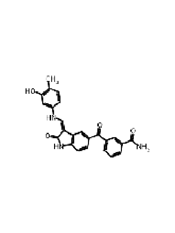 Cc1ccc(N/C=C2\C(=O)Nc3ccc(C(=O)c4cccc(C(N)=O)c4)cc32)cc1O